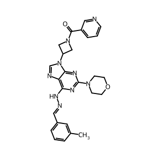 Cc1cccc(/C=N/Nc2nc(N3CCOCC3)nc3c2ncn3C2CN(C(=O)c3cccnc3)C2)c1